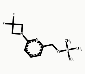 CC(C)(C)[Si](C)(C)OCc1cccc(N2CC(F)(F)C2)n1